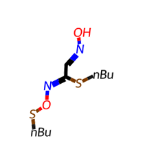 CCCCSON=C(C=NO)SCCCC